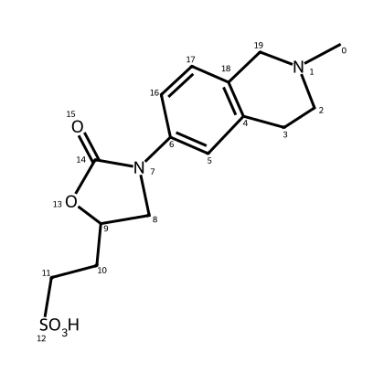 CN1CCc2cc(N3CC(CCS(=O)(=O)O)OC3=O)ccc2C1